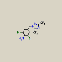 Nc1c(Br)cc(Cn2nc(C(F)(F)F)nc2C(F)(F)F)cc1Br